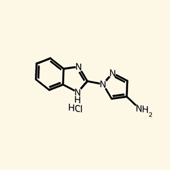 Cl.Nc1cnn(-c2nc3ccccc3[nH]2)c1